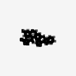 C/C(=C1\c2ccc(Cn3c(-c4ccco4)nc4ccccc43)cc2COc2cc(F)ccc21)c1noc(=O)[nH]1